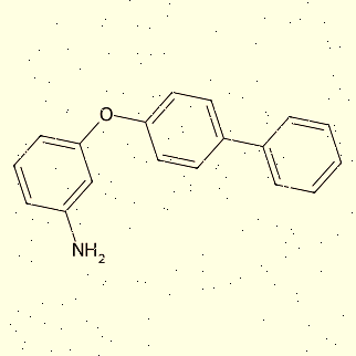 Nc1cccc(Oc2ccc(-c3ccccc3)cc2)c1